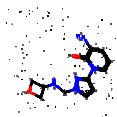 Nc1cccn(-c2ccn(CNC3COC3)n2)c1=O